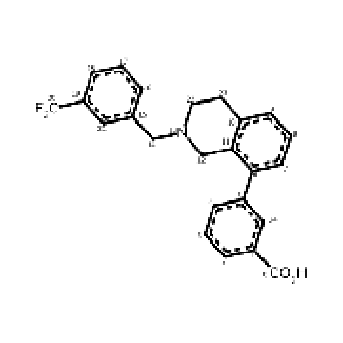 O=C(O)c1cccc(-c2cccc3c2CN(Cc2cccc(C(F)(F)F)c2)CC3)c1